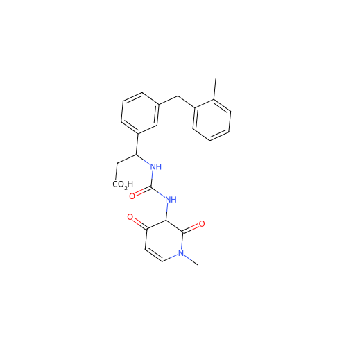 Cc1ccccc1Cc1cccc(C(CC(=O)O)NC(=O)NC2C(=O)C=CN(C)C2=O)c1